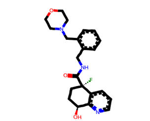 O=C(NCc1ccccc1CN1CCOCC1)[C@]1(F)CC[C@H](O)c2ncccc21